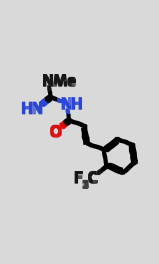 CNC(=N)NC(=O)/C=C/c1ccccc1C(F)(F)F